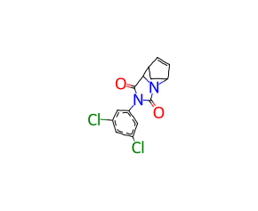 O=C1C2C3C=CC(C3)N2C(=O)N1c1cc(Cl)cc(Cl)c1